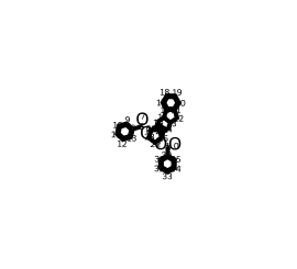 O=C(OC1C(OC(=O)c2ccccc2)C2C3c4ccccc4CC3C1C21CCCC1)c1ccccc1